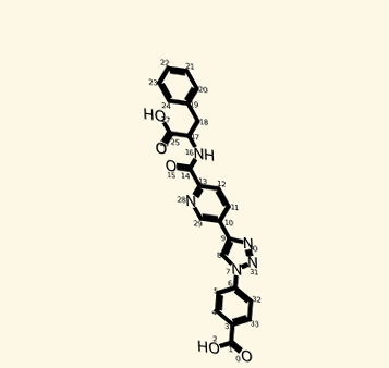 O=C(O)c1ccc(-n2cc(-c3ccc(C(=O)NC(Cc4ccccc4)C(=O)O)nc3)nn2)cc1